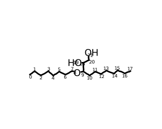 CCCCCCCCOC(CCCCCCCC)C(O)CO